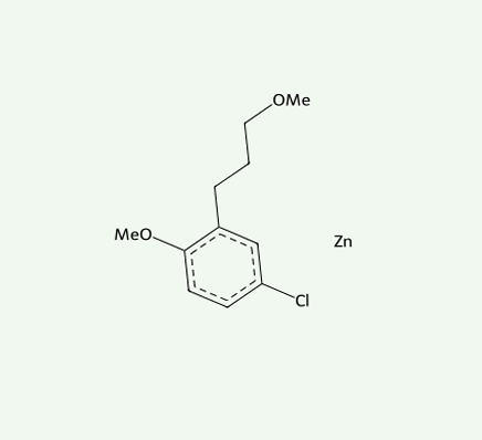 COCCCc1cc(Cl)ccc1OC.[Zn]